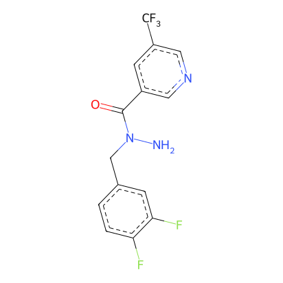 NN(Cc1ccc(F)c(F)c1)C(=O)c1cncc(C(F)(F)F)c1